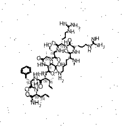 CC[C@@H](C)[C@H](NC(=O)[C@H](CC(=O)O)NC(=O)[C@H](C)NC(=O)[C@H](CO)NC(=O)[C@H](CCCNC(=N)N)NC(=O)[C@H](CCCNC(=N)N)NC(=O)[C@H](CCCCN)NC)C(=O)N[C@@H](Cc1ccccc1)C(=O)N[C@H](C(N)=O)[C@@H](C)CC